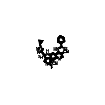 [2H][C@](Nc1cc(C#N)c2ncc(C#N)c(N[C@H](CC)c3ccccc3)c2c1)(c1ccc(F)nc1)c1cn(C2CC2)nn1